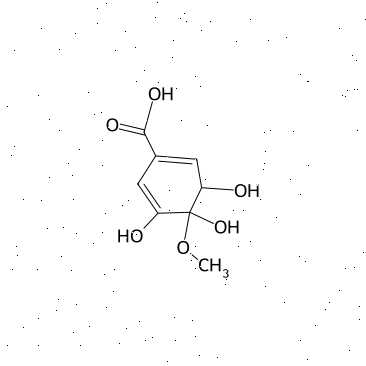 COC1(O)C(O)=CC(C(=O)O)=CC1O